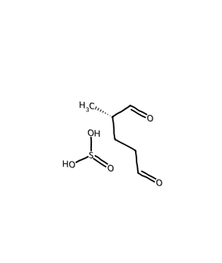 C[C@H](C=O)CCC=O.O=S(O)O